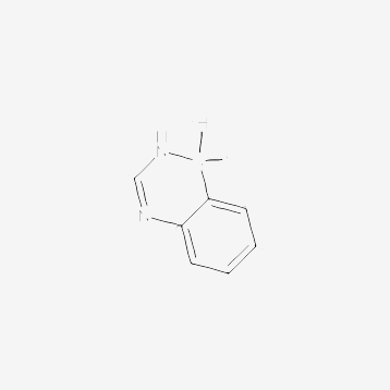 [2H]S1([2H])NC=Nc2ccccc21